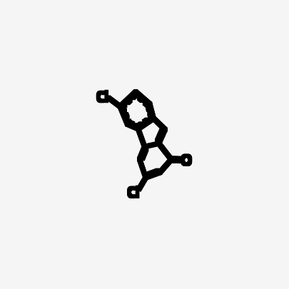 O=C1C=C(Cl)C=C2C1=Cc1ccc(Cl)cc12